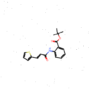 CC(C)(C)OC(=O)c1ccccc1NC(=O)C=Cc1cccs1